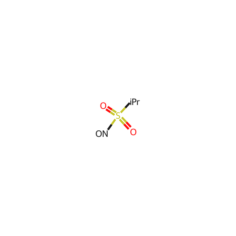 CC(C)S(=O)(=O)N=O